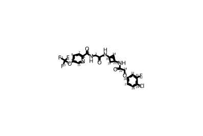 O=C(CNC(=O)c1ccc(OC(F)(F)F)cn1)NC12CC(NC(=O)COc3ccc(Cl)c(F)c3)(C1)C2